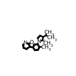 Cc1ccc2c(oc3ncccc32)c1N1C=CC(C(C)C)[C@@H]1C